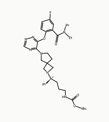 CCN(C(=O)c1cc(F)ccc1Oc1nncnc1N1CCC2(C1)CN([C@@H](CCCNC(=O)OC(C)(C)C)C(C)C)C2)C(C)C